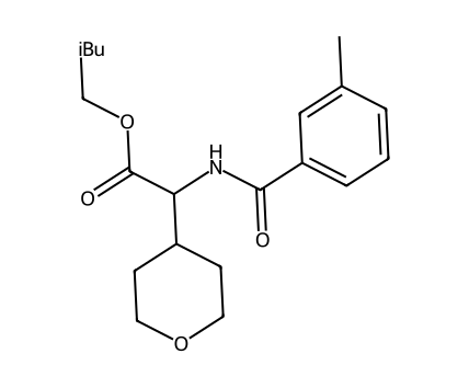 CCC(C)COC(=O)C(NC(=O)c1cccc(C)c1)C1CCOCC1